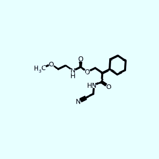 COCCNC(=O)OCC(C(=O)NCC#N)C1CCCCC1